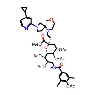 COC(=O)[C@@]1(CCN2CCOC[C@@]23CCN(c2cc(C4CC4)ccn2)C3)C[C@H](OC(C)=O)[C@@H](NC(C)=O)[C@H]([C@H](OC(C)=O)[C@@H](CNC(=O)c2cc(C)c(OC(C)=O)c(C)c2)OC(C)=O)O1